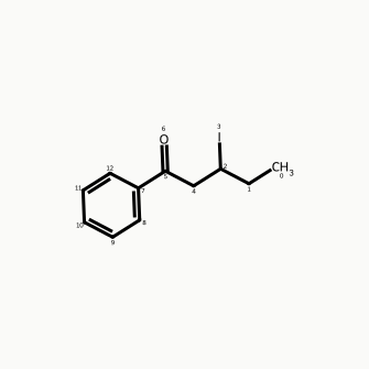 CCC(I)CC(=O)c1ccccc1